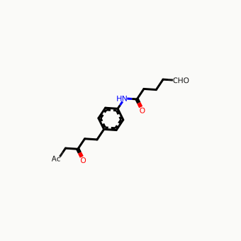 CC(=O)CC(=O)CCc1ccc(NC(=O)CCCC=O)cc1